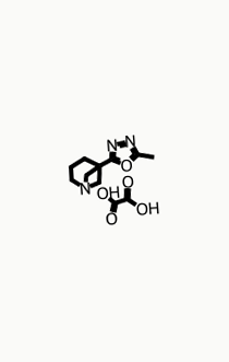 Cc1nnc(C23CCCN(C2)C3)o1.O=C(O)C(=O)O